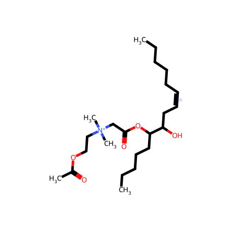 CCCCC/C=C\CC(O)C(CCCCC)OC(=O)C[N+](C)(C)CCOC(C)=O